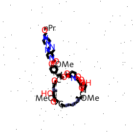 CCCOCCN1CCN(c2ncc3c(n2)CCN(C(=O)O[C@@H]2CC[C@@H](C[C@@H](C)[C@@H]4CC(=O)[C@H](C)/C=C(\C)[C@@H](O)[C@@H](OC)C(=O)[C@H](C)C[C@H](C)/C=C/C=C/C=C(\C)[C@@H](OC)C[C@@H]5CC[C@@H](C)[C@@](O)(O5)C(=O)C(=O)N5CCCC[C@H]5C(=O)O4)C[C@H]2OC)C3)CC1